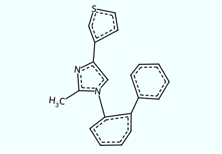 Cc1nc(-c2ccsc2)cn1-c1ccccc1-c1ccccc1